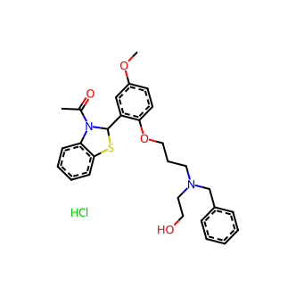 COc1ccc(OCCCN(CCO)Cc2ccccc2)c(C2Sc3ccccc3N2C(C)=O)c1.Cl